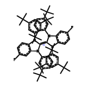 CC(C)(C)c1cc(N2/C(=C3/N(c4cc(C(C)(C)C)cc(C(C)(C)C)c4)c4ccc(F)cc4N3c3cc(C(C)(C)C)ccc3C(C)(C)C)N(c3cc(C(C)(C)C)ccc3C(C)(C)C)c3cc(F)ccc32)cc(C(C)(C)C)c1